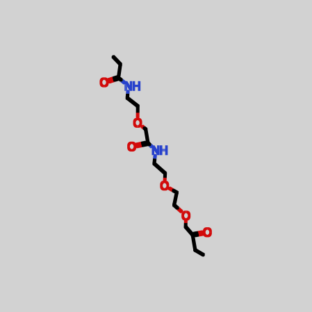 CCC(=O)COCCOCCNC(=O)COCCNC(=O)CC